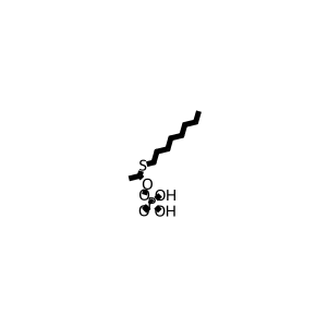 CCCCCCCCSC(C)OOP(=O)(O)O